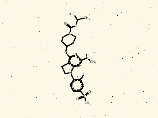 CNc1nc(OC2CCN(C(=O)OC(C)C)CC2)c2c(n1)N(c1ccc(S(C)(=O)=O)cc1F)CC2